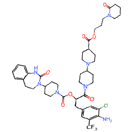 Nc1c(Cl)cc(C[C@@H](OC(=O)N2CCC(N3CCc4ccccc4NC3=O)CC2)C(=O)N2CCC(N3CCC(C(=O)OCCCN4CCCCC4=O)CC3)CC2)cc1C(F)(F)F